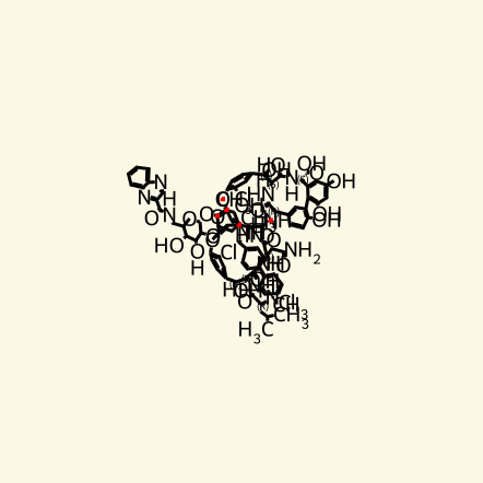 CN[C@H](CC(C)C)C(=O)N[C@H]1C(=O)N[C@@H](CC(N)=O)C(=O)N[C@H]2C(=O)N[C@H]3C(=O)N[C@H](C(=O)N[C@H](C(=O)O)c4cc(O)cc(O)c4-c4cc3ccc4O)[C@H](O)c3ccc(c(Cl)c3)Oc3cc2cc(c3OC2OC(CNC(=O)c3cnc4ccccc4n3)C(O)C(O)C2OC2CC(C)(NCc3ccc(-c4ccc(Cl)cc4)cc3)C(O)C(C)O2)Oc2ccc(cc2Cl)[C@H]1O